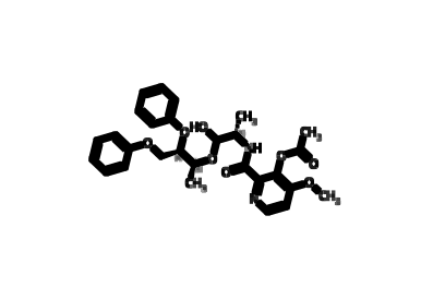 COc1ccnc(C(=O)N[C@@H](C)C(O)O[C@@H](C)[C@@H](COc2ccccc2)Oc2ccccc2)c1OC(C)=O